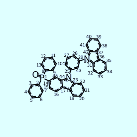 O=P(c1ccccc1)(c1ccccc1)c1ccc2c3ccccc3n(-c3cccc(-n4c5ccccc5c5ccccc54)c3)c2c1